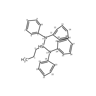 CCC[SiH](N(c1ccccc1)c1ccccc1)N(c1ccccc1)c1ccccc1